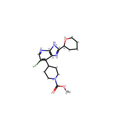 CC(C)(C)OC(=O)N1CCC(c2c(F)cnc3[nH]c(C4CCCCO4)nc23)CC1